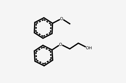 COc1ccccc1.OCCOc1ccccc1